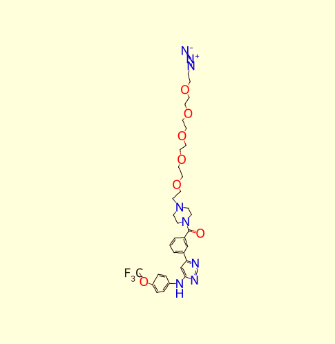 [N-]=[N+]=NCCOCCOCCOCCOCCOCCN1CCN(C(=O)c2cccc(-c3cc(Nc4ccc(OC(F)(F)F)cc4)ncn3)c2)CC1